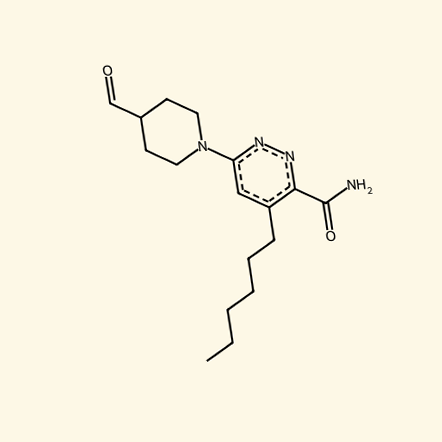 CCCCCCc1cc(N2CCC(C=O)CC2)nnc1C(N)=O